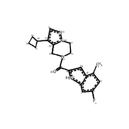 Cc1cc(F)cc2[nH]c(C(=O)N3CCn4ncc(C5CCC5)c4C3)cc12